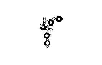 CN1CCN([C@H]2CC[C@H](n3c(=O)n(-c4ccc(Oc5ccccc5)cc4)c4c(N)nccc43)CC2)CC1